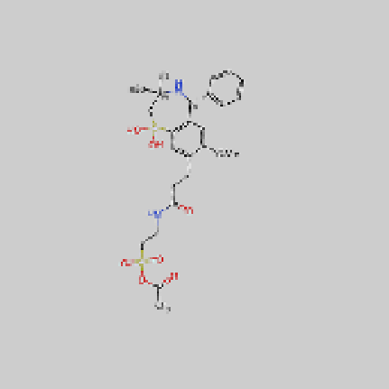 CCCC[C@]1(CC)CS(O)(O)c2cc(CCC(=O)NCCS(=O)(=O)OC(=O)C(F)(F)F)c(OC)cc2[C@@H](c2ccccc2)N1